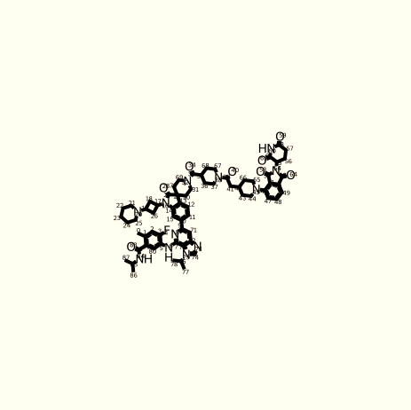 Cc1cc(F)c(Nc2nc(-c3ccc4c(c3)N(C3CC(N5CCCCC5)C3)C(=O)C43CCN(C(=O)C4CCN(C(=O)CC5CCN(c6cccc7c6C(=O)N(C6CCC(=O)NC6=O)C7=O)CC5)CC4)CC3)cc3ncn(C(C)C)c23)cc1C(=O)NC(C)C